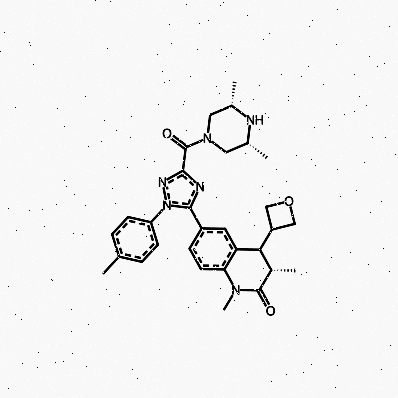 Cc1ccc(-n2nc(C(=O)N3C[C@@H](C)N[C@@H](C)C3)nc2-c2ccc3c(c2)C(C2COC2)[C@H](C)C(=O)N3C)cc1